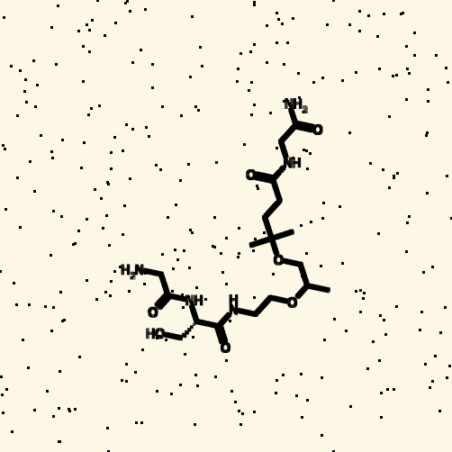 CC(COC(C)(C)CCC(=O)NCC(N)=O)OCCNC(=O)[C@H](CO)NC(=O)CN